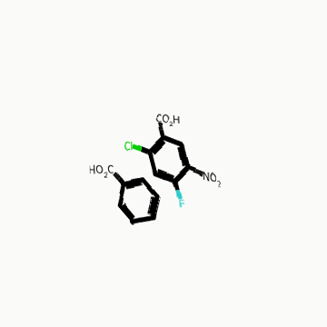 O=C(O)c1cc([N+](=O)[O-])c(F)cc1Cl.O=C(O)c1ccccc1